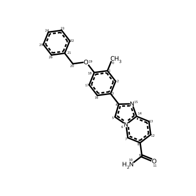 Cc1cc(-c2cn3cc(C(N)=O)ccc3n2)ccc1OCc1ccccc1